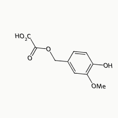 COc1cc(COC(=O)C(=O)O)ccc1O